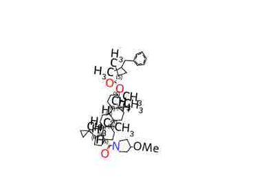 COC1CCN(C(=O)[C@]23CC[C@@H](C4(C)CC4)[C@@H]2[C@H]2CC[C@@H]4[C@@]5(C)CC[C@H](OC(=O)[C@H]6CC(Cc7ccccc7)C6(C)C)C(C)(C)[C@@H]5CC[C@@]4(C)[C@]2(C)CC3)CC1